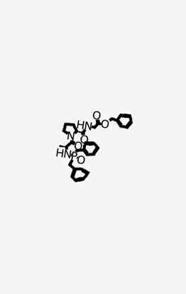 C[C@H](NP(=O)(Cc1ccccc1)Cc1ccccc1)C(=O)N1CCC[C@H]1C(=O)NCC(=O)OCc1ccccc1